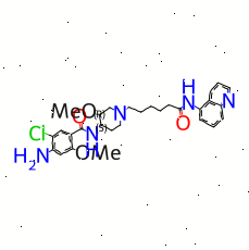 COc1cc(N)c(Cl)cc1C(=O)N[C@H]1CCN(CCCCCC(=O)Nc2cccc3ncccc23)C[C@H]1OC